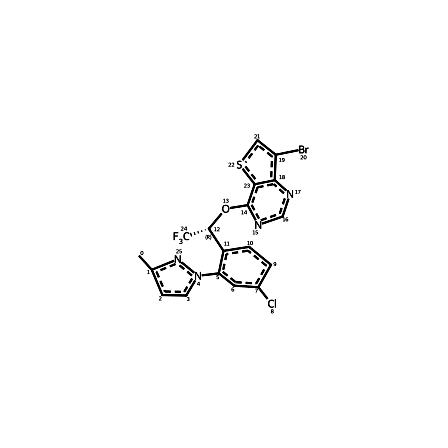 Cc1ccn(-c2cc(Cl)ccc2[C@@H](Oc2ncnc3c(Br)csc23)C(F)(F)F)n1